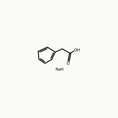 O=C(O)Cc1ccccc1.[NaH]